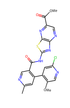 COC(=O)c1cnc2nc(NC(=O)c3cnc(C)cc3-c3cc(Cl)ncc3OC)sc2n1